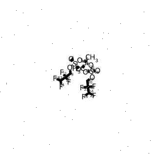 C[Si](C)(OS(=O)(=O)OCC(F)(F)C(F)F)OS(=O)(=O)OCC(F)(F)C(F)F